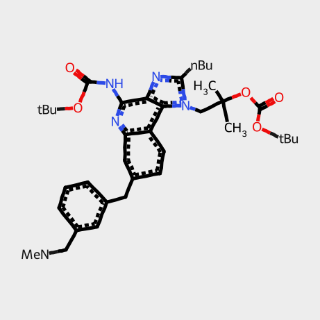 CCCCc1nc2c(NC(=O)OC(C)(C)C)nc3cc(Cc4cccc(CNC)c4)ccc3c2n1CC(C)(C)OC(=O)OC(C)(C)C